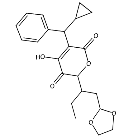 CCC(CC1OCCO1)C1OC(=O)C(C(c2ccccc2)C2CC2)=C(O)C1=O